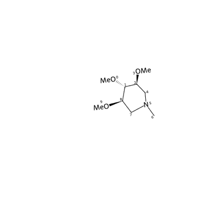 CO[C@@H]1[C@@H](OC)CN(C)C[C@H]1OC